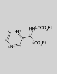 CCOC(=O)NC(C(=O)OCC)c1cnccn1